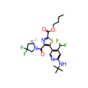 CCCCOC(=O)c1nc(C(=O)N2CC(F)(F)C[C@@H]2C)c(-c2cnc(NC(C)(C)C)cc2C(F)F)s1